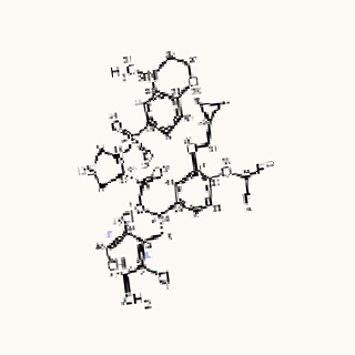 C=C/C(Cl)=C(C[C@H](OC(=O)[C@@H]1CSCN1S(=O)(=O)c1ccc2c(c1)N(C)CCO2)c1ccc(OC(F)F)c(OCC2CC2)c1)\C(Cl)=C/C